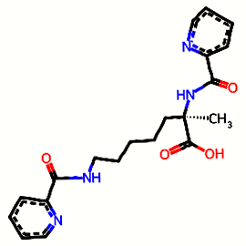 C[C@](CCCCCNC(=O)c1ccccn1)(NC(=O)c1ccccn1)C(=O)O